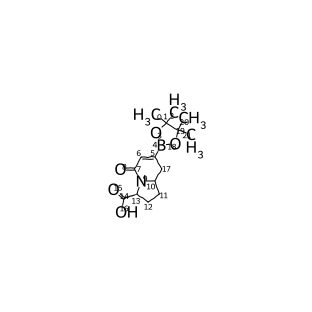 CC1(C)OB(C2=CC(=O)N3C(CC[C@H]3C(=O)O)C2)OC1(C)C